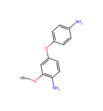 CCCCOc1cc(Oc2ccc(N)cc2)ccc1N